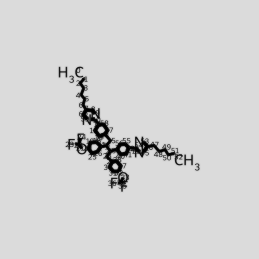 CCCCCCCc1cnc(-c2ccc(CC(c3ccc(OC(F)F)cc3)C(Cc3ccc(OC(F)F)cc3)c3ccc(-c4ncc(CCCCCC)cn4)cc3)cc2)nc1